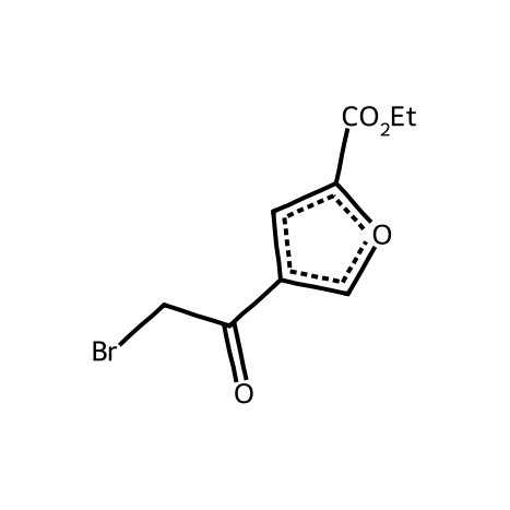 CCOC(=O)c1cc(C(=O)CBr)co1